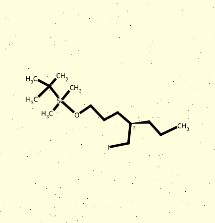 CCC[C@@H](CI)CCCO[Si](C)(C)C(C)(C)C